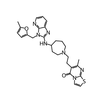 Cc1ccc(Cn2c(NC3CCCN(CCc4c(C)nc5sccn5c4=O)CC3)nc3cccnc32)o1